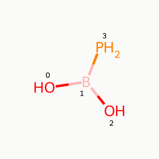 OB(O)P